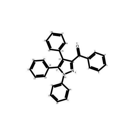 O=C(c1ccccc1)c1nn(-c2ccccc2)c(-c2ccccc2)c1-c1ccccc1